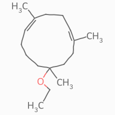 CCOC1(C)CCC/C=C(/C)CC/C=C(/C)CC1